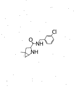 CC12CC(C(=O)NCc3cccc(Cl)c3)NC1C2